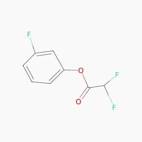 O=C(Oc1cccc(F)c1)C(F)F